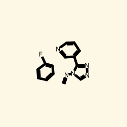 C=Nn1cnnc1-c1cccnc1.Fc1ccccc1